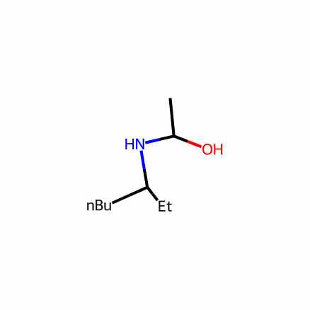 CCCCC(CC)NC(C)O